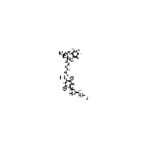 CCN(CCCCCCNC1=CC(=O)C(NCCCN)=CC1=O)Cc1ccccc1OC